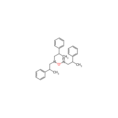 CC([CH2][AlH][O][Al]([CH2]C(C)c1ccccc1)[CH2]C(C)c1ccccc1)c1ccccc1